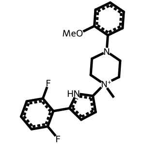 COc1ccccc1N1CC[N+](C)(c2ccc(-c3c(F)cccc3F)[nH]2)CC1